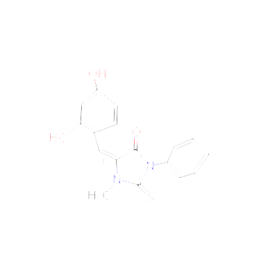 CN1C(=S)N(c2ccccc2)C(=O)/C1=C\c1ccc(O)cc1O